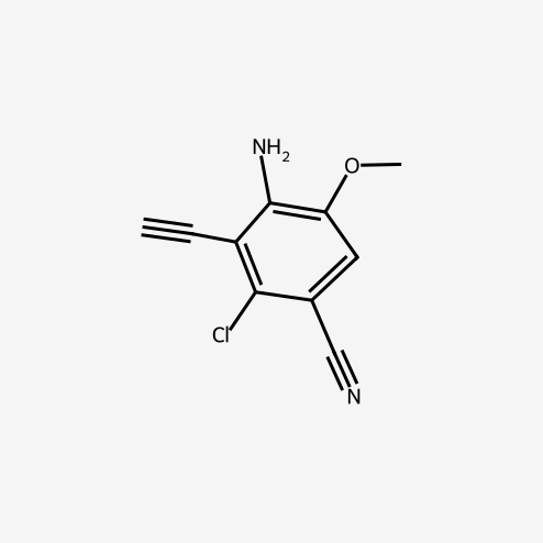 C#Cc1c(N)c(OC)cc(C#N)c1Cl